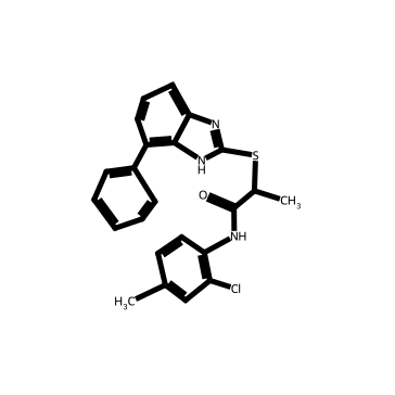 Cc1ccc(NC(=O)C(C)Sc2nc3cccc(-c4ccccc4)c3[nH]2)c(Cl)c1